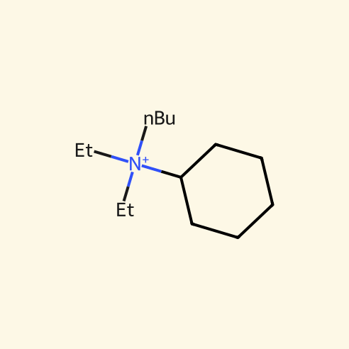 CCCC[N+](CC)(CC)C1CCCCC1